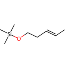 CC=CCCO[Si](C)(C)C